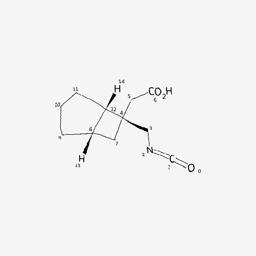 O=C=NC[C@@]1(CC(=O)O)C[C@@H]2CCC[C@@H]21